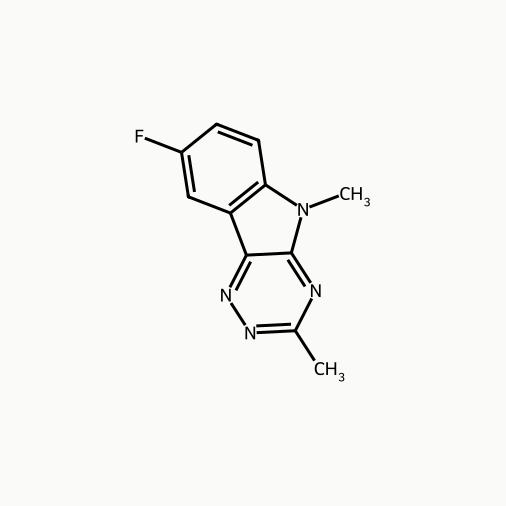 Cc1nnc2c3cc(F)ccc3n(C)c2n1